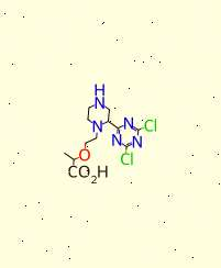 CC(OCCN1CCNCC1c1nc(Cl)nc(Cl)n1)C(=O)O